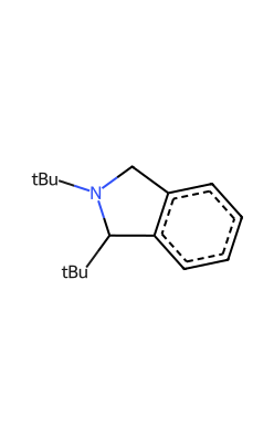 CC(C)(C)C1c2ccccc2CN1C(C)(C)C